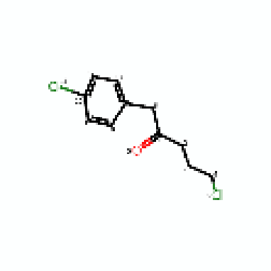 O=C(CCCCl)Cc1ccc(Cl)cc1